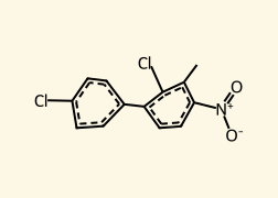 Cc1c([N+](=O)[O-])ccc(-c2ccc(Cl)cc2)c1Cl